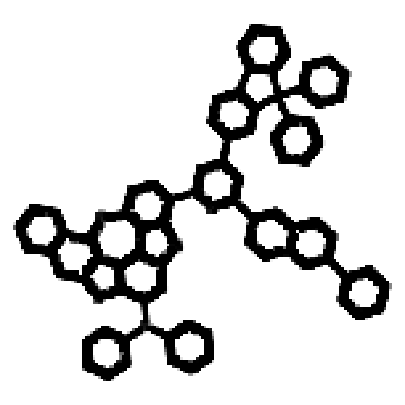 c1ccc(-c2ccc3cc(-c4cc(-c5ccc6c(c5)C(c5ccccc5)(c5ccccc5)c5ccccc5-6)cc(-c5ccc6oc7c8ccccc8cc8sc9c(N(c%10ccccc%10)c%10ccccc%10)cc%10sc5c6c%10c9c87)n4)ccc3c2)cc1